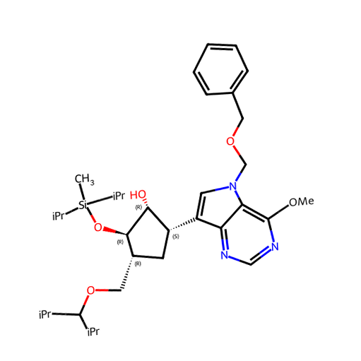 COc1ncnc2c([C@@H]3C[C@H](COC(C(C)C)C(C)C)[C@@H](O[Si](C)(C(C)C)C(C)C)[C@@H]3O)cn(COCc3ccccc3)c12